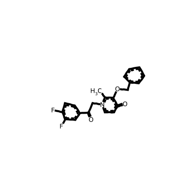 Cc1c(OCc2ccccc2)c(=O)ccn1CC(=O)c1ccc(F)c(F)c1